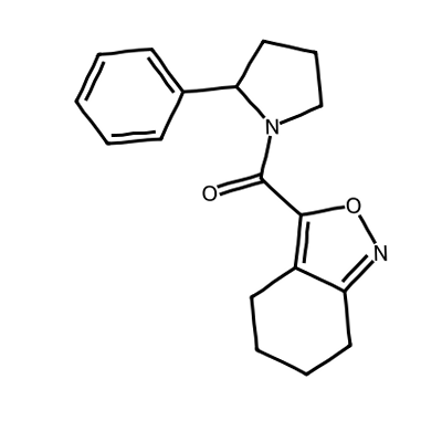 O=C(c1onc2c1CCCC2)N1CCCC1c1ccccc1